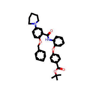 CC(C)(C)OC(=O)c1ccc(Oc2ccccc2NC(=O)c2cc(N3CCCCC3)ccc2OCc2ccccc2)cc1